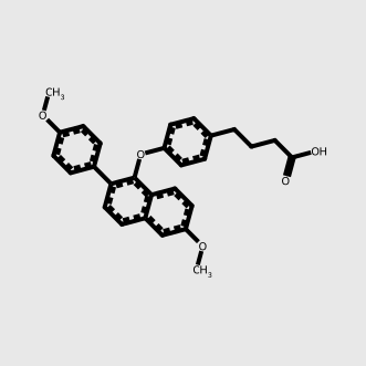 COc1ccc(-c2ccc3cc(OC)ccc3c2Oc2ccc(CCCC(=O)O)cc2)cc1